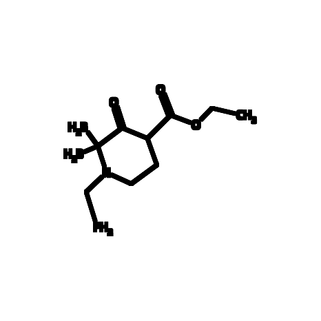 BC1(B)C(=O)C(C(=O)OCC)CCN1CP